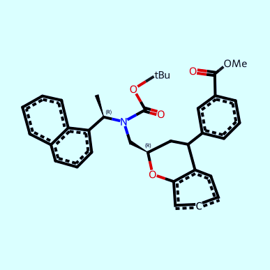 COC(=O)c1cccc(C2C[C@H](CN(C(=O)OC(C)(C)C)[C@H](C)c3cccc4ccccc34)Oc3ccccc32)c1